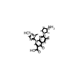 Cl.Cn1ncnc1-n1cc(C(=O)O)c(=O)c2cc(F)c(N3CC[C@H](N)C3)nc21